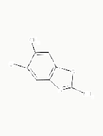 Cc1cc2sc(N)nc2cc1Cl